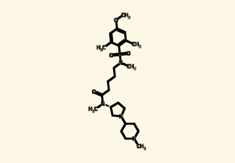 COc1cc(C)c(S(=O)(=O)N(C)CCCCC(=O)N(C)[C@@H]2CCN(C3CCN(C)CC3)C2)c(C)c1